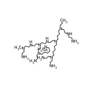 CCCN(CCCCN(CCCCCN(CCN)CCN)CCNCCN(CCNCCN(C)CCN)CCN(CCN)CCCCCNC)CCNCCN